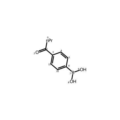 CCCC(=O)c1ccc(B(O)O)cc1